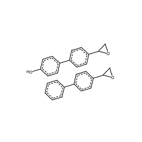 Oc1ccc(-c2ccc(C3CO3)cc2)cc1.c1ccc(-c2ccc(C3CO3)cc2)cc1